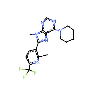 Cc1nc(C(F)(F)F)ccc1-c1nc2c(N3CC[CH]CC3)ncnc2n1C